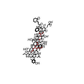 CC[C@H](C)[C@H](NC(=O)[C@H](CO)NC(=O)[C@H](Cc1ccc(O)cc1)NC(=O)[C@H](CC(=O)O)NC(=O)[C@H](CCO)NC(=O)[C@@H](NC(=O)[C@H](Cc1ccccc1)NC(=O)[C@@H](NC(=O)CNC(=O)[C@H](CCC(=O)O)NC(=O)C(C)(C)NC(=O)CCN1CCCCC1=O)[C@@H](C)O)[C@@H](C)O)C(=O)N[C@@H](Cc1ccc(O)cc1)C(=O)N[C@@H](CC(C)C)C(=O)N[C@@H](CC(=O)O)C(=O)N[C@H](C)CCCCN